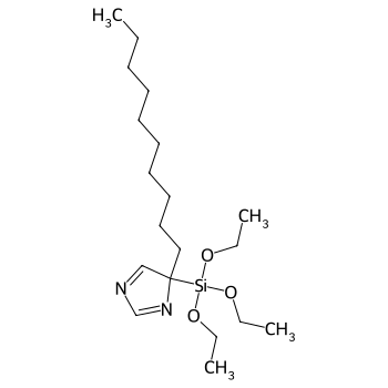 CCCCCCCCCCC1([Si](OCC)(OCC)OCC)C=NC=N1